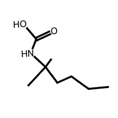 CCCCC(C)(C)NC(=O)O